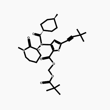 CN1CCCC[C@H](N(c2cc(C#CC(C)(C)C)sc2C(=O)OCOC(=O)C(C)(C)C)C(=O)[C@H]2CC[C@H](C)CC2)C1=O